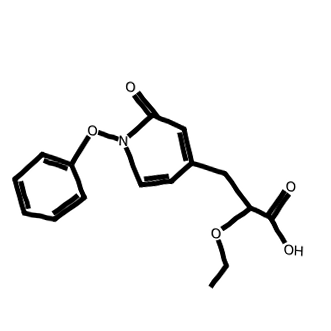 CCOC(Cc1ccn(Oc2ccccc2)c(=O)c1)C(=O)O